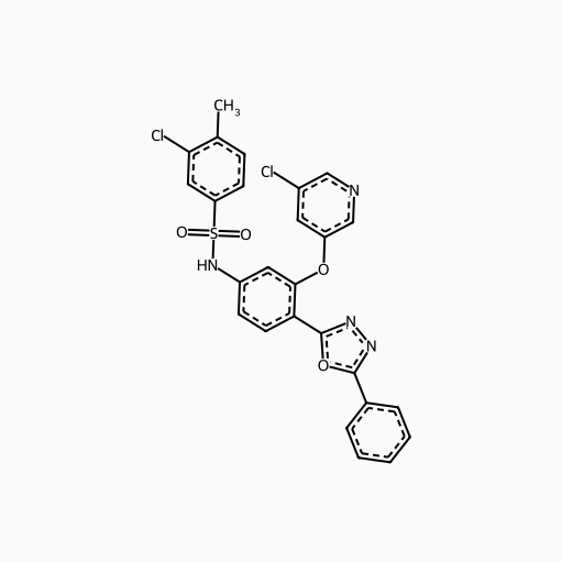 Cc1ccc(S(=O)(=O)Nc2ccc(-c3nnc(-c4ccccc4)o3)c(Oc3cncc(Cl)c3)c2)cc1Cl